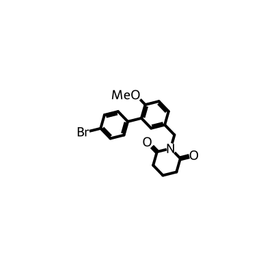 COc1ccc(CN2C(=O)CCCC2=O)cc1-c1ccc(Br)cc1